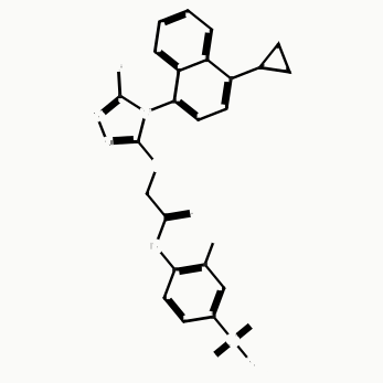 NS(=O)(=O)c1ccc(NC(=O)CSc2nnc(Br)n2-c2ccc(C3CC3)c3ccccc23)c(Cl)c1